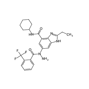 CCc1nc2c(C(=O)NC3CCCCC3)cc(N(N)C(=O)c3ccccc3C(F)(F)F)cc2[nH]1